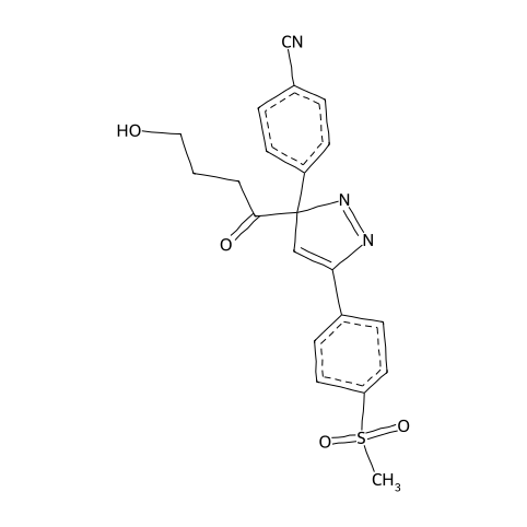 CS(=O)(=O)c1ccc(C2=CC(C(=O)CCCO)(c3ccc(C#N)cc3)N=N2)cc1